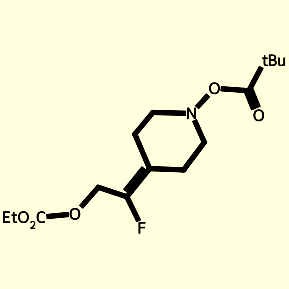 CCOC(=O)OCC(F)=C1CCN(OC(=O)C(C)(C)C)CC1